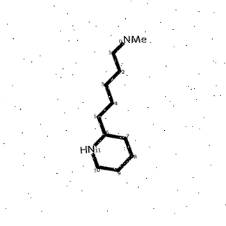 CNCCCCCC1CCCCN1